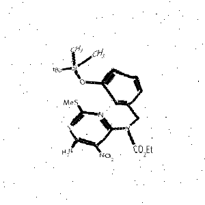 CCOC(=O)N(Cc1cccc(O[Si](C)(C)C(C)(C)C)c1)c1nc(SC)nc(N)c1[N+](=O)[O-]